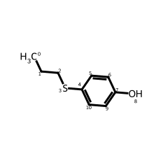 CCCSc1ccc(O)cc1